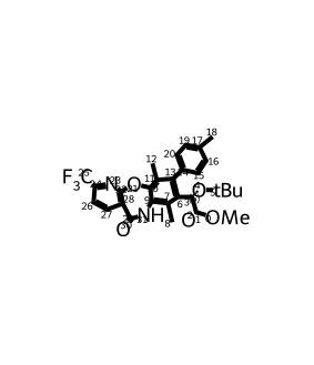 COC(=O)[C@@H](OC(C)(C)C)c1c(C)c2c(c(C)c1-c1ccc(C)cc1)Oc1nc(C(F)(F)F)ccc1C(=O)N2